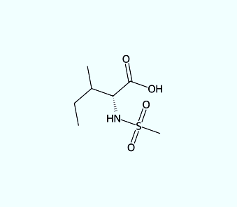 CCC(C)[C@@H](NS(C)(=O)=O)C(=O)O